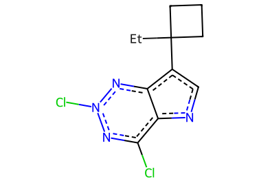 CCC1(c2cnc3c(Cl)nn(Cl)nc2-3)CCC1